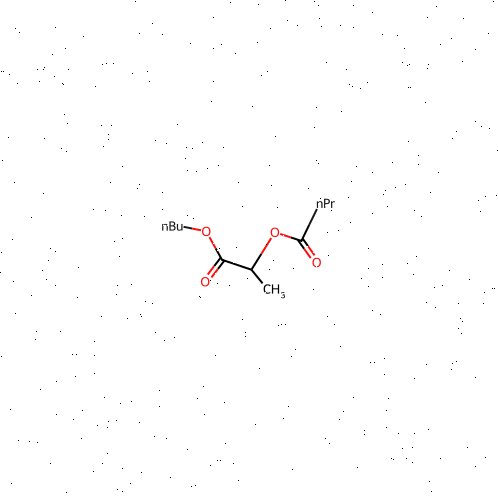 CCCCOC(=O)C(C)OC(=O)CCC